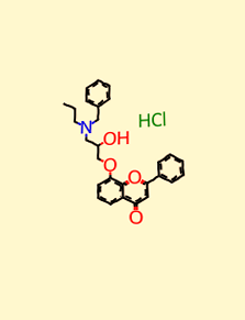 CCCN(Cc1ccccc1)CC(O)COc1cccc2c(=O)cc(-c3ccccc3)oc12.Cl